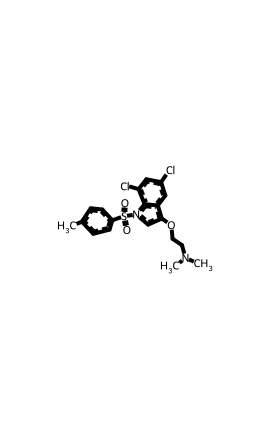 Cc1ccc(S(=O)(=O)n2cc(OCCN(C)C)c3cc(Cl)cc(Cl)c32)cc1